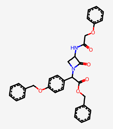 O=C(COc1ccccc1)NC1CN(C(C(=O)OCc2ccccc2)c2ccc(OCc3ccccc3)cc2)C1=O